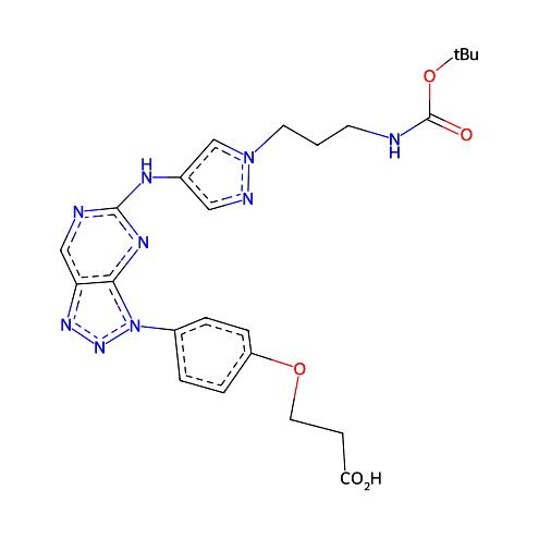 CC(C)(C)OC(=O)NCCCn1cc(Nc2ncc3nnn(-c4ccc(OCCC(=O)O)cc4)c3n2)cn1